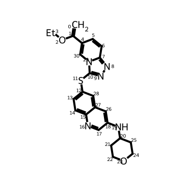 C=C(OCC)c1ccc2nnc(Sc3ccc4ncc(NC5CCOCC5)cc4c3)n2c1